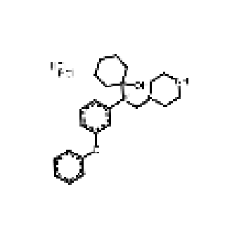 Cl.Cl.OC1([C@@H](CN2CCNCC2)c2cccc(Oc3ccccc3)c2)CCCCC1